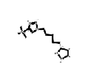 C[Si](C)(C)c1cn(CCCCC[C@@H]2CCSS2)nn1